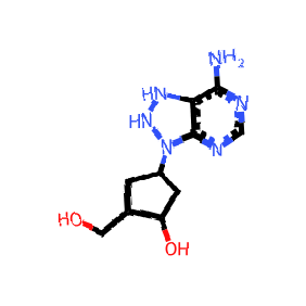 Nc1ncnc2c1NNN2C1CC(O)C(CO)C1